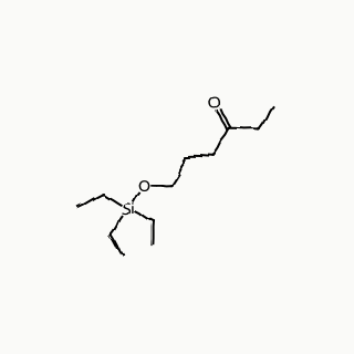 CCC(=O)CCCO[Si](CC)(CC)CC